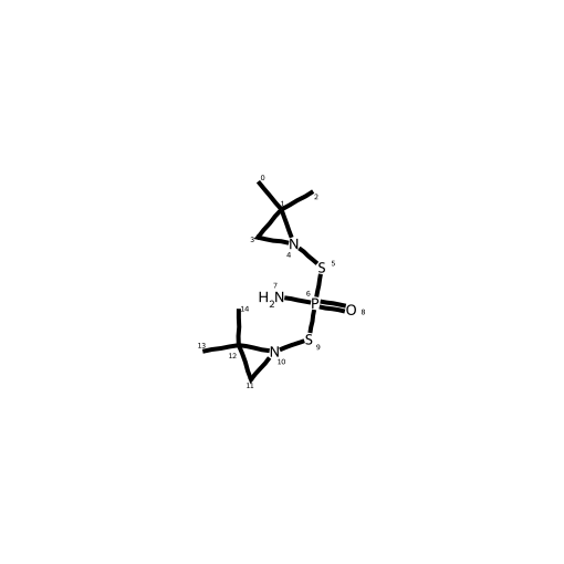 CC1(C)CN1SP(N)(=O)SN1CC1(C)C